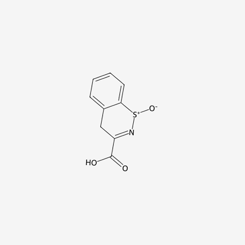 O=C(O)C1=N[S+]([O-])c2ccccc2C1